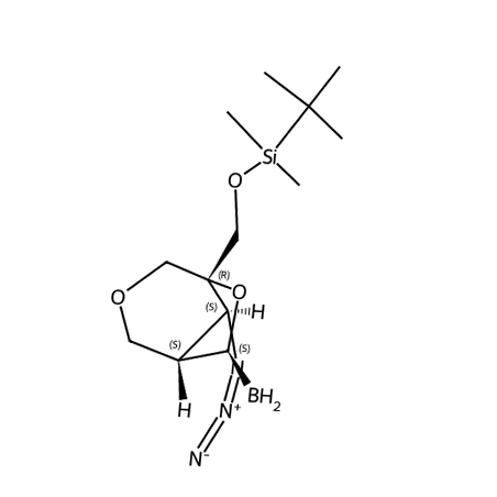 B[C@@H]1O[C@@]2(CO[Si](C)(C)C(C)(C)C)COC[C@@H]1[C@@H]2N=[N+]=[N-]